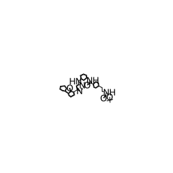 CC(C)(C)OC(=O)NCCc1ccc(C(=O)Nc2cccc(Nc3cc(-c4cccc5c4oc4ccccc45)ncn3)c2)cc1